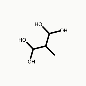 CC(C(O)O)C(O)O